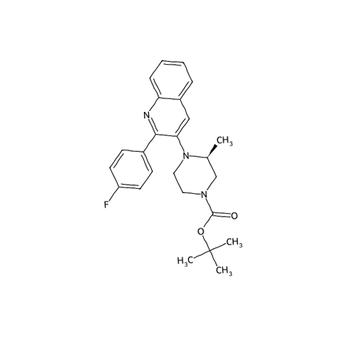 C[C@H]1CN(C(=O)OC(C)(C)C)CCN1c1cc2ccccc2nc1-c1ccc(F)cc1